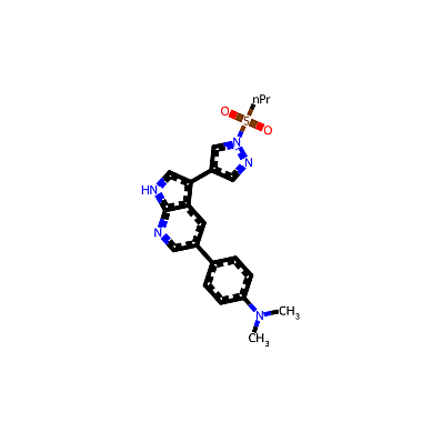 CCCS(=O)(=O)n1cc(-c2c[nH]c3ncc(-c4ccc(N(C)C)cc4)cc23)cn1